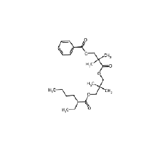 CCCCC(CC)C(=O)OCC(C)(C)COC(=O)C(C)(C)COC(=O)c1ccccc1